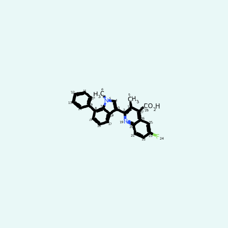 Cc1c(-c2cn(C)c3c(-c4ccccc4)cccc23)nc2ccc(F)cc2c1C(=O)O